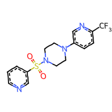 O=S(=O)(c1cccnc1)N1CCN(c2ccc(C(F)(F)F)nc2)CC1